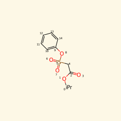 CC(C)OC(=O)CS(=O)(=O)Oc1ccccc1